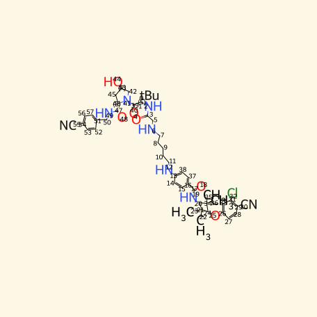 CC(C)(C)[C@H](NC(=O)CNCCCCCNc1ccc(C(=O)N[C@H]2C(C)(C)[C@H](Oc3ccc(C#N)c(Cl)c3)C2(C)C)cc1)C(=O)N1C[C@H](O)C[C@H]1C(=O)NCc1ccc(C#N)cc1